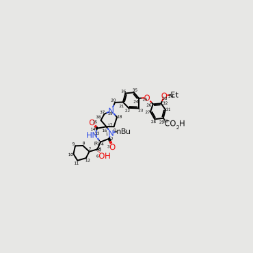 CCCCN1C(=O)[C@@H]([C@H](O)C2CCCCC2)NC(=O)C12CCN(Cc1ccc(Oc3ccc(C(=O)O)cc3OCC)cc1)CC2